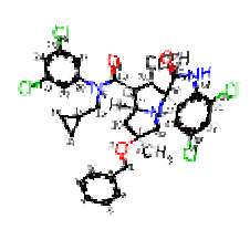 C[C@]1(OCc2ccccc2)C[C@@H]2[C@@H](C(=O)N(CC3CC3)c3cc(Cl)cc(Cl)c3)[C@@H](C(=O)O)[C@@]3(C(=O)Nc4c(Cl)cc(Cl)cc43)N2C1